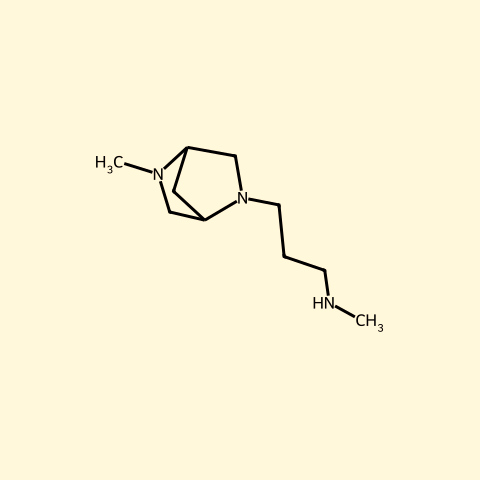 CNCCCN1CC2CC1CN2C